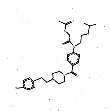 CC(=O)OCC(=O)N(CCOC(C)C)c1ccc(C(=O)N2CCN(CCc3ccc(Cl)cc3)CC2)cc1